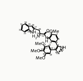 COc1ccc(-c2[nH]nnc2-c2cc(OC)c(OC)c(OC)c2)cc1NC(=O)C(N)Cc1cc2ccccc2[nH]1